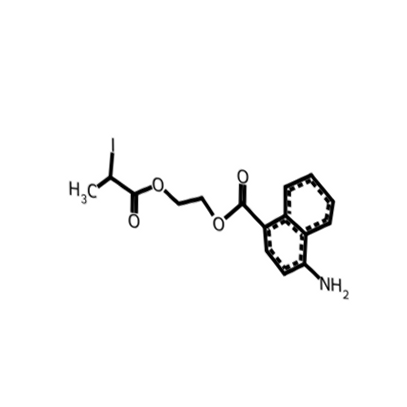 CC(I)C(=O)OCCOC(=O)c1ccc(N)c2ccccc12